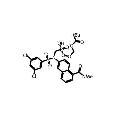 CNC(=O)c1cccc2cc(N(CP(=O)(O)OOCOC(=O)C(C)(C)C)S(=O)(=O)c3cc(Cl)cc(Cl)c3)ccc12